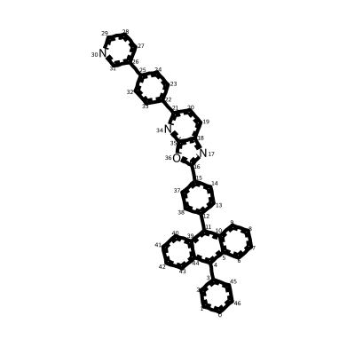 c1ccc(-c2c3ccccc3c(-c3ccc(-c4nc5ccc(-c6ccc(-c7cccnc7)cc6)nc5o4)cc3)c3ccccc23)cc1